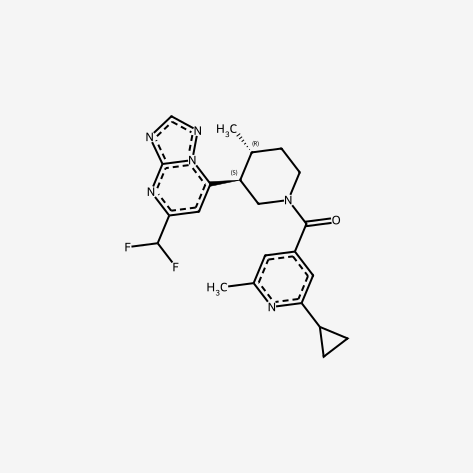 Cc1cc(C(=O)N2CC[C@@H](C)[C@H](c3cc(C(F)F)nc4ncnn34)C2)cc(C2CC2)n1